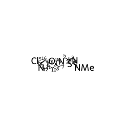 CNc1ncc(CN2CCC3(Cc4cnc(Cl)cc4O3)C2)s1